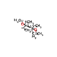 CCO[Si](C#C[Si](CC)(CC)OCC)(CC)CC